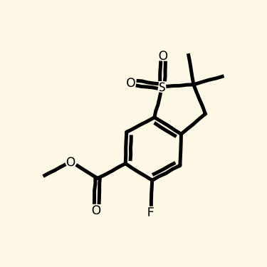 COC(=O)c1cc2c(cc1F)CC(C)(C)S2(=O)=O